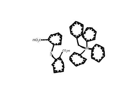 O=C(O)c1ccccc1Sc1ccccc1C(=O)O.c1ccc(C[PH](c2ccccc2)(c2ccccc2)c2ccccc2)cc1